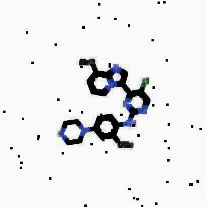 COc1cc(N2CC[N]CC2)ccc1Nc1ncc(Cl)c(-c2cnc3c(OC)cccn23)n1